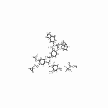 O=C(O)C(F)(F)F.O=C(O[C@@H](Cc1c(Cl)c[n+]([O-])cc1Cl)c1ccc(OC(F)F)c(OCC2CC2)c1)c1cccc(NC(C(=O)O[C@H]2CN3CCC2CC3)c2ccc3occc3c2)c1